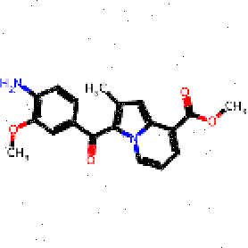 COC(=O)c1cccn2c(C(=O)c3ccc(N)c(OC)c3)c(C)cc12